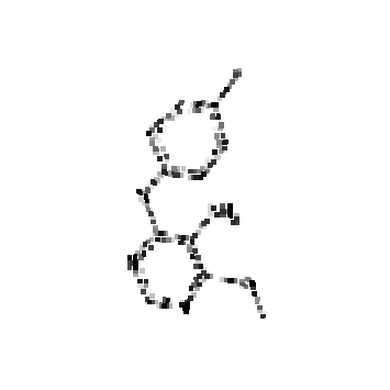 COc1ncnc(Oc2ccc(F)cc2)c1N